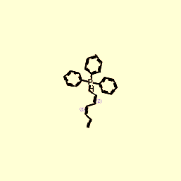 C=C/C=C\C=C/C[PH](c1ccccc1)(c1ccccc1)c1ccccc1